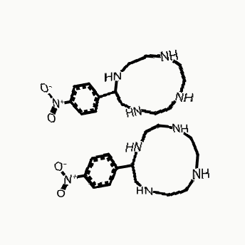 O=[N+]([O-])c1ccc(C2CNCCNCCNCCN2)cc1.O=[N+]([O-])c1ccc(C2CNCCNCCNCCN2)cc1